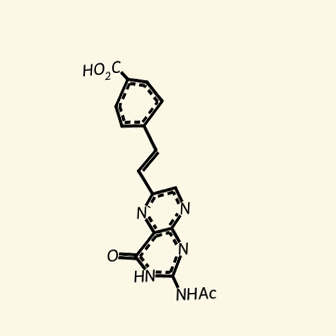 CC(=O)Nc1nc2ncc(C=Cc3ccc(C(=O)O)cc3)nc2c(=O)[nH]1